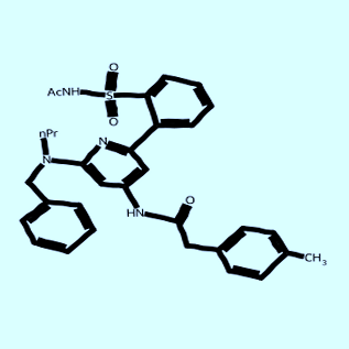 CCCN(Cc1ccccc1)c1cc(NC(=O)Cc2ccc(C)cc2)cc(-c2ccccc2S(=O)(=O)NC(C)=O)n1